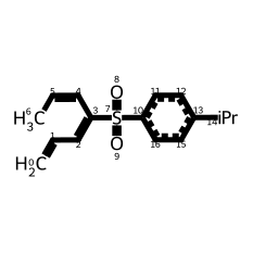 C=C/C=C(\C=C/C)S(=O)(=O)c1ccc(C(C)C)cc1